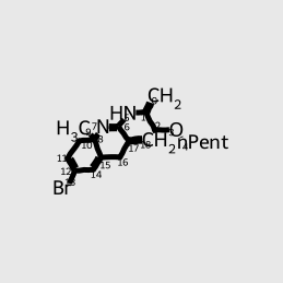 C=C(COCCCCC)NC1=NC2(C)CC=C(Br)C=C2CC1=C